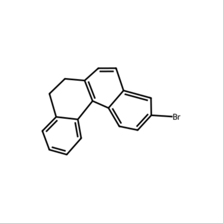 Brc1ccc2c3c(ccc2c1)CCc1ccccc1-3